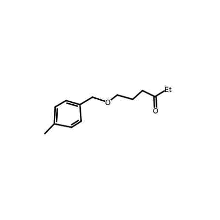 CCC(=O)CCCOCc1ccc(C)cc1